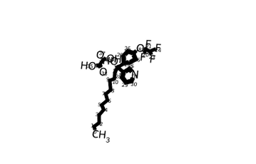 CCCCCCCCCCCCC(O)(c1ccc(OC(F)(F)C(F)F)cc1)c1cccnc1.O=C(O)C(=O)O